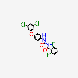 O=C(NC(=O)c1c(F)cccc1F)Nc1ccc(Oc2cc(Cl)cc(Cl)c2)cc1